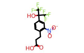 O=C(O)CCc1ccc(C(O)(C(F)(F)F)C(F)(F)F)cc1[N+](=O)[O-]